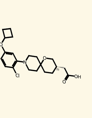 O=C(O)C[C@@H]1CCC2(CCN(c3cc(OC4CCC4)ccc3Cl)CC2)OC1